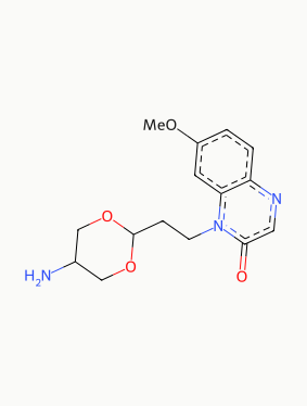 COc1ccc2ncc(=O)n(CCC3OCC(N)CO3)c2c1